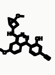 C#Cc1ccc(-c2nnc(NC3C[C@@]4(OC)CC34)c3cc(OC)ccc23)c(O)c1